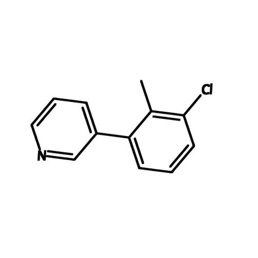 Cc1c(Cl)cccc1-c1cccnc1